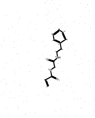 C=CC(=O)OCC(=O)NCCc1ccccc1